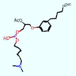 CCCCCCCCCCCCCCc1cccc(OCC(COP(O)OCCCCN(C)C)OC(C)=O)c1